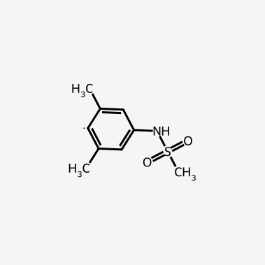 Cc1[c]c(C)cc(NS(C)(=O)=O)c1